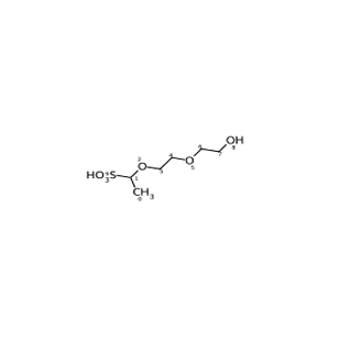 CC(OCCOCCO)S(=O)(=O)O